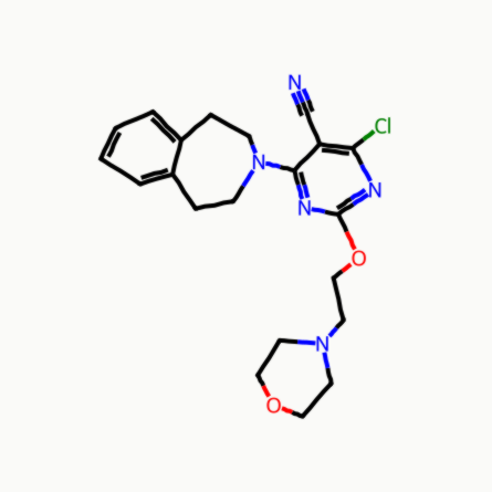 N#Cc1c(Cl)nc(OCCN2CCOCC2)nc1N1CCc2ccccc2CC1